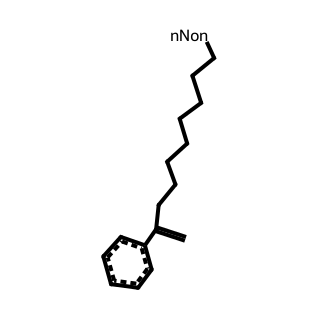 C=C(CCCCCCCCCCCCCCCCC)c1ccccc1